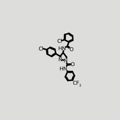 O=C(NC1CN(C(=O)Nc2ccc(C(F)(F)F)cc2)N=C1c1ccc(Cl)cc1)c1ccccc1Cl